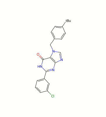 CC(C)(C)c1ccc(Cn2cnc3nc(-c4cccc(Cl)c4)[nH]c(=O)c32)cc1